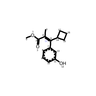 COC(=O)/C(C)=C(\c1cccc(O)c1)C1CCC1